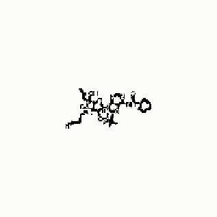 C=CCOP(=O)(OCCC#N)[C@]1(C)C(O[Si](C)(C)C(C)(C)C)[C@H](n2cnc3c(NC(=O)c4ccccc4)ncnc32)O[C@@H]1CO